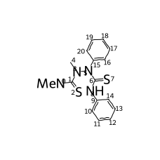 CNC(=S)N(C)N(C(=S)Nc1ccccc1)c1ccccc1